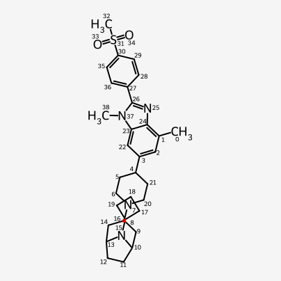 Cc1cc(C2CCN(C3CC4CCC(C3)N4C3CCC3)CC2)cc2c1nc(-c1ccc(S(C)(=O)=O)cc1)n2C